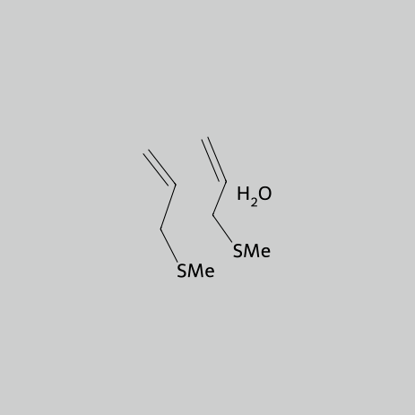 C=CCSC.C=CCSC.O